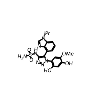 COc1cc(-n2nnc(NS(N)(=O)=O)c2-c2cccc3c2ncn3C(C)C)c(O)cc1O